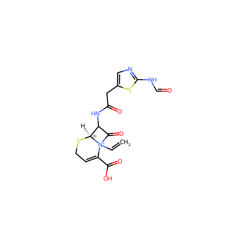 C=C[N+]12C(=O)C(NC(=O)Cc3cnc(NC=O)s3)[C@@H]1SCC=C2C(=O)O